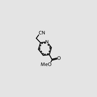 COC(=O)c1ccc(CC#N)nc1